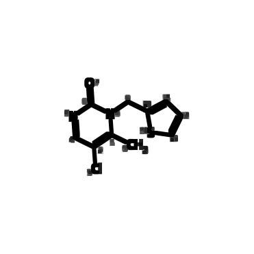 Cc1c(Cl)cnc(=O)n1Cc1cccs1